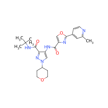 Cc1cc(-c2nc(C(=O)Nc3cn(C4CCOCC4)nc3C(=O)NC(C)(C)C)co2)ccn1